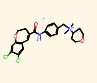 C[N+](C)(Cc1ccc(NC(=O)C2=Cc3cc(Cl)c(Cl)cc3OCC2)cc1)C1CCOCC1.[I-]